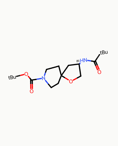 CC(C)(C)OC(=O)N1CCC2(CC1)C[C@@H](NC(=O)C(C)(C)C)CO2